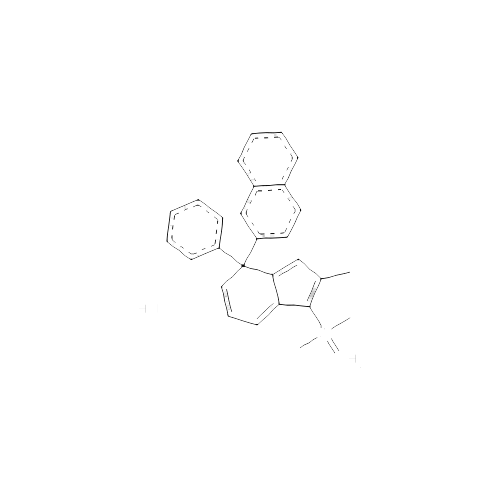 CC1=[C]([Zr]([CH3])([CH3])=[SiH2])C2=CC=CC(c3ccccc3)(c3ccc4ccccc4c3)C2=C1.Cl.Cl